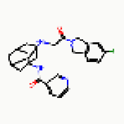 O=C(NC12CC3CC(CC(NCC(=O)N4Cc5ccc(F)cc5C4)(C3)C1)C2)c1cccnc1